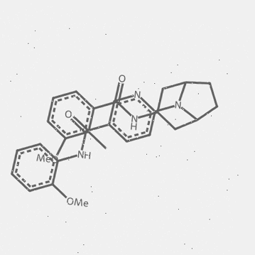 COc1ccccc1NC(=O)c1ccc(N2C3CCC2CC(NC(=O)c2cccc(OC)c2C)C3)nc1